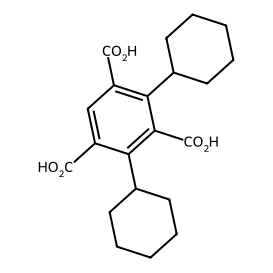 O=C(O)c1cc(C(=O)O)c(C2CCCCC2)c(C(=O)O)c1C1CCCCC1